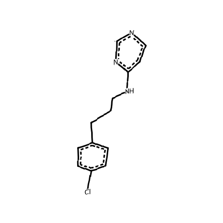 Clc1ccc(CCCNc2ccn[c]n2)cc1